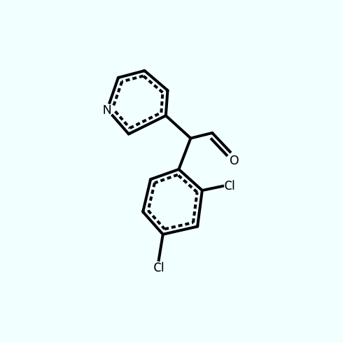 O=CC(c1cccnc1)c1ccc(Cl)cc1Cl